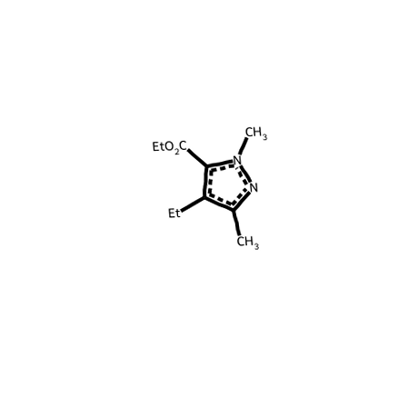 CCOC(=O)c1c(CC)c(C)nn1C